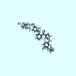 NS(=O)(=O)OCC[C@H]1C[C@@H](Nc2ncncc2C(=O)c2ccn(Cc3ccc(F)c(OC(F)(F)F)c3)c2)C[C@@H]1O